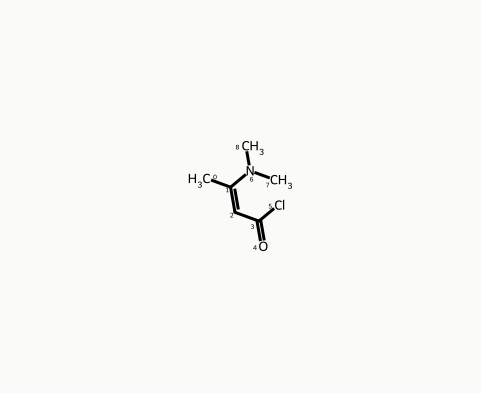 CC(=CC(=O)Cl)N(C)C